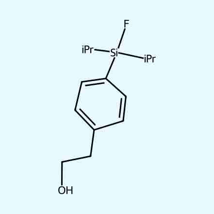 CC(C)[Si](F)(c1ccc(CCO)cc1)C(C)C